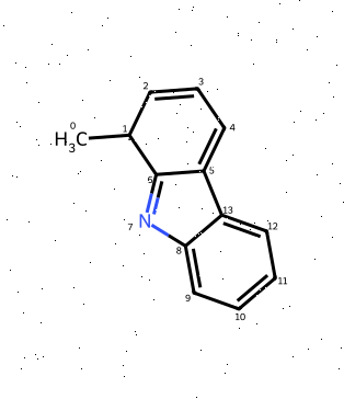 C[C]1C=CC=C2C1=Nc1ccccc12